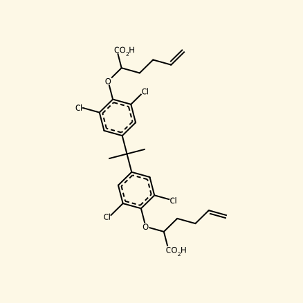 C=CCCC(Oc1c(Cl)cc(C(C)(C)c2cc(Cl)c(OC(CCC=C)C(=O)O)c(Cl)c2)cc1Cl)C(=O)O